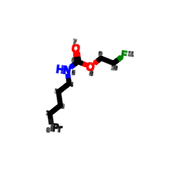 CC(C)CCCCNC(=O)OCCF